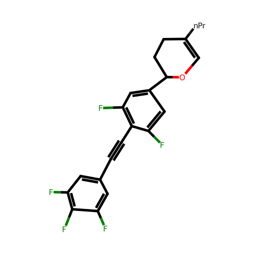 CCCC1=COC(c2cc(F)c(C#Cc3cc(F)c(F)c(F)c3)c(F)c2)CC1